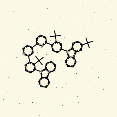 CC(C)(C)c1ccc2c(c1)c1ccccc1n2-c1ccc(-c2cccc(-c3ccnc(-c4cccc(-n5c6ccccc6c6ccccc65)c4C(C)(C)C)c3)n2)c(C(C)(C)C)c1